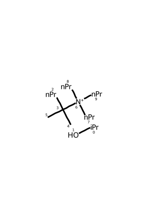 CC(C)O.CCCC(C)(C)[N+](CCC)(CCC)CCC